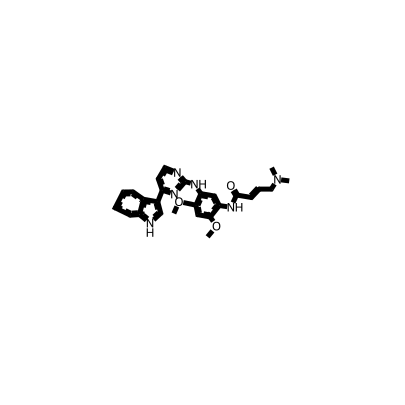 COc1cc(OC)c(Nc2nccc(-c3c[nH]c4ccccc34)n2)cc1NC(=O)/C=C/CN(C)C